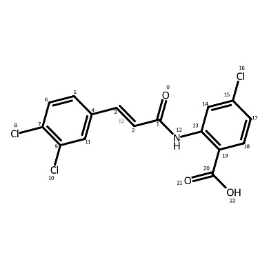 O=C(/C=C/c1ccc(Cl)c(Cl)c1)Nc1cc(Cl)ccc1C(=O)O